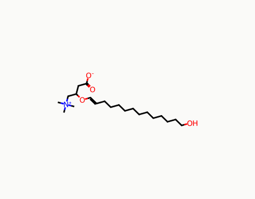 C[N+](C)(C)CC(CC(=O)[O-])OC=CCCCCCCCCCCCCO